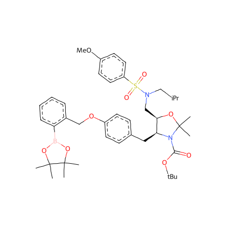 COc1ccc(S(=O)(=O)N(CC(C)C)C[C@H]2OC(C)(C)N(C(=O)OC(C)(C)C)[C@H]2Cc2ccc(OCc3ccccc3B3OC(C)(C)C(C)(C)O3)cc2)cc1